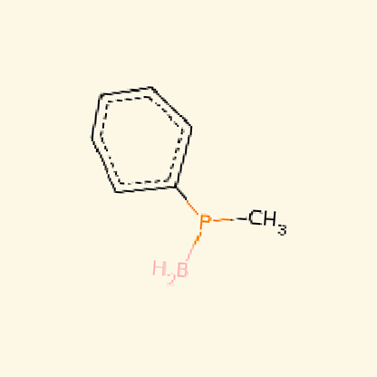 BP(C)c1ccccc1